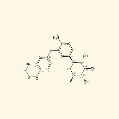 C[C@H]1O[C@@H](c2ccc(N)c(Cc3ccc4c(c3)NCCO4)c2)[C@H](O)[C@@H](O)[C@@H]1O